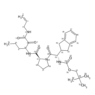 C=CCNC(=O)C(=O)C(CCC)NC(=O)[C@@H]1CCCN1C(=O)[C@@H](NC(=O)OCC(C)(C)C)C1Cc2ccccc2C1